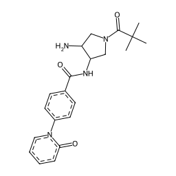 CC(C)(C)C(=O)N1CC(N)C(NC(=O)c2ccc(-n3ccccc3=O)cc2)C1